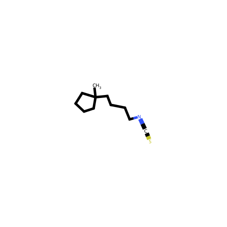 CC1(CCCCN=C=S)CCCC1